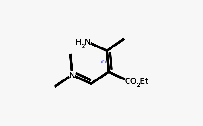 CCOC(=O)/C(C=[N+](C)C)=C(\C)N